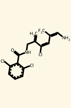 C=C(CNC(=O)c1c(Cl)cccc1Cl)/C(Cl)=C\C(=C/N)C(F)(F)F